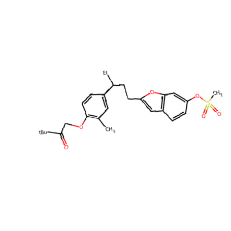 CCC(CCc1cc2ccc(OS(C)(=O)=O)cc2o1)c1ccc(OCC(=O)C(C)(C)C)c(C)c1